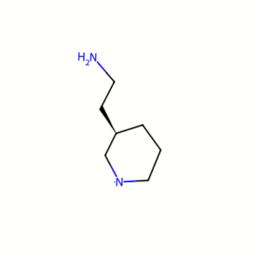 NCC[C@H]1CCC[N]C1